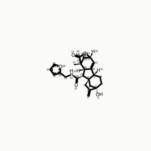 C=C1C[C@]23C[C@@]1(O)CC[C@H]2C1=C[C@H]2OC(=O)[C@@](C)([C@H]1[C@@H]3C(=O)NCc1ccco1)[C@H]2O